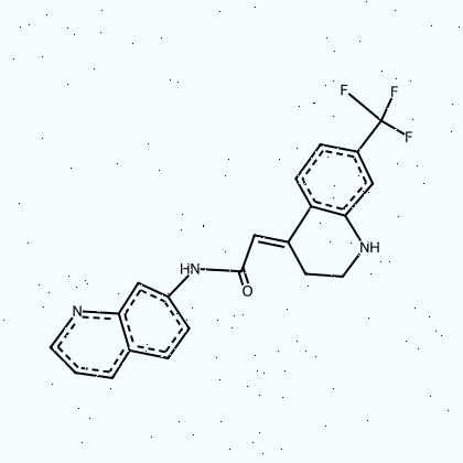 O=C(C=C1CCNc2cc(C(F)(F)F)ccc21)Nc1ccc2cccnc2c1